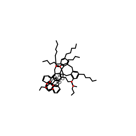 CCCCCc1cc(CCCCC)c2c(c1)Cc1cc(CCCCC)cc(CCCCC)c1C1(c3c(CCCCC)cc(CCCCC)cc3Cc3cc(CCCCC)cc(CCCCC)c31)C(OP(Oc1ccccc1)Oc1ccccc1)(OP(Oc1ccccc1)Oc1ccccc1)C2